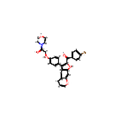 O=C(c1ccc(Br)cc1)c1oc2cc3c(cc2c1-c1ccc(OCC(=O)N2CCOCC2)cc1)CC=CO3